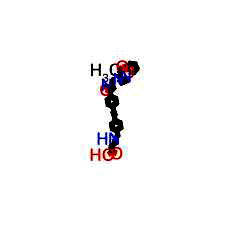 CC(OC1CCCCO1)c1nccn1Cc1cc(-c2ccc(C#Cc3ccc(CNCCC(=O)O)cc3)cc2)on1